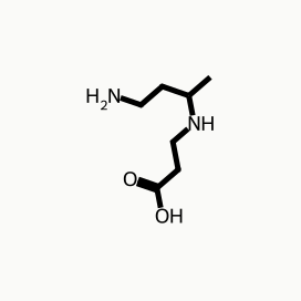 CC(CCN)NCCC(=O)O